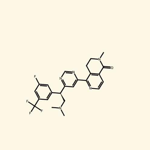 CN(C)C[C@@H](c1cc(F)cc(C(F)(F)F)c1)c1cc(-c2nccc3c2CCN(C)C3=O)ncn1